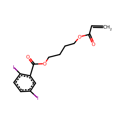 C=CC(=O)OCCCCOC(=O)c1cc(I)ccc1I